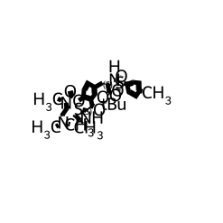 Cc1ccc(S(=O)(=O)N[C@@H](Cc2ccc(OC(=O)N(C)CCN(C)C)c(C(=O)[C@H]3NC(C)CS3)c2)C(=O)OC(C)(C)C)cc1